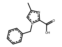 Cc1cn(Cc2ccccc2)c(C(=O)O)n1